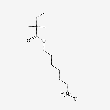 [CH2-][NH2+]CCCCCCOC(=O)C(C)(C)CC